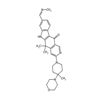 C/N=C\c1ccc2c3c([nH]c2c1)C(C)(C)c1cc(N2CCC(C)(N4CCOCC4)CC2)ncc1C3=O